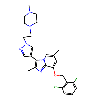 Cc1cc(OCc2c(F)cccc2F)c2nc(C)c(-c3cnn(CCN4CCN(C)CC4)c3)n2c1